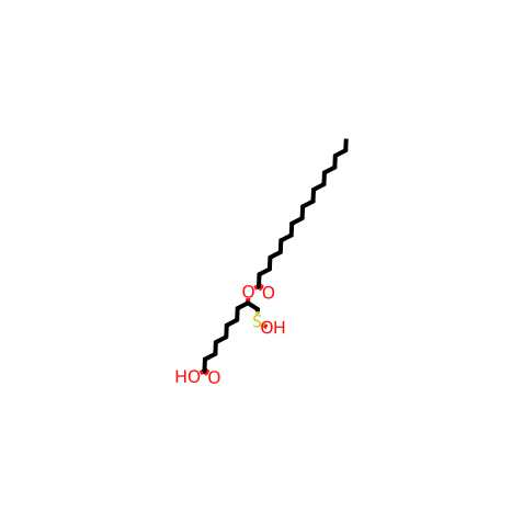 CCCCCCCCCCCCCCCCCC(=O)OC(CCCCCCCC(=O)O)CSO